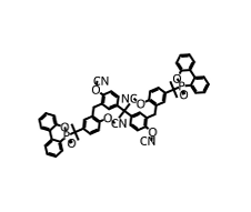 CC(C)(c1ccc(OC#N)c(Cc2cc(C(C)(C)P3(=O)Oc4ccccc4-c4ccccc43)ccc2OC#N)c1)c1ccc(OC#N)c(Cc2cc(C(C)(C)P3(=O)Oc4ccccc4-c4ccccc43)ccc2OC#N)c1